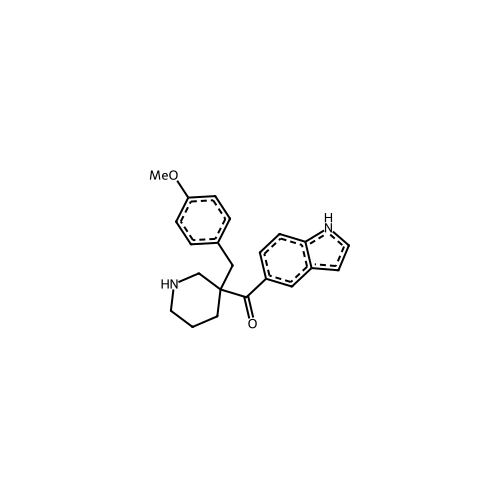 COc1ccc(CC2(C(=O)c3ccc4[nH]ccc4c3)CCCNC2)cc1